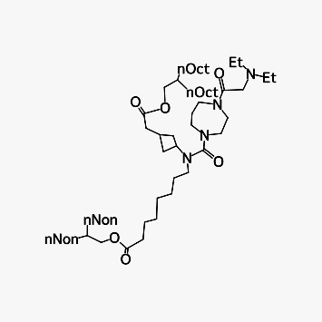 CCCCCCCCCC(CCCCCCCCC)COC(=O)CCCCCCCN(C(=O)N1CCCN(C(=O)CN(CC)CC)CC1)C1CC(CC(=O)OCC(CCCCCCCC)CCCCCCCC)C1